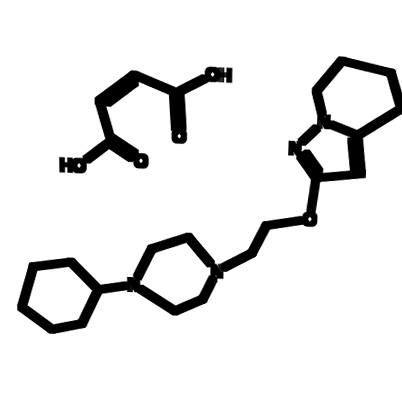 O=C(O)/C=C\C(=O)O.c1c(OCCN2CCN(C3CCCCC3)CC2)nn2c1CCCC2